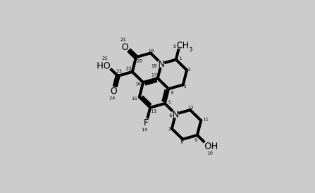 CC1CCc2c(N3CCC(O)CC3)c(F)cc3c2N1CC(=O)C3C(=O)O